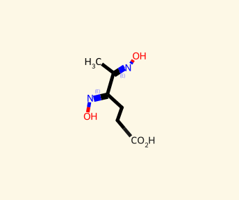 CC(=N\O)/C(CCC(=O)O)=N/O